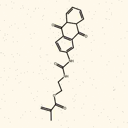 C=C(C)C(=O)OCCNC(=O)Nc1ccc2c(c1)C(=O)C1C=CC=CC1C2=O